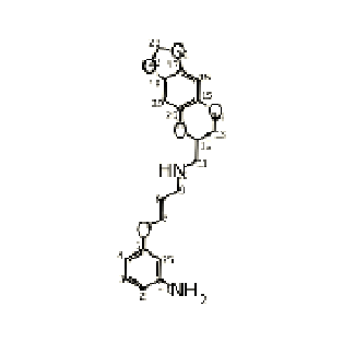 Nc1cccc(OCCCNCC2COc3cc4c(cc3O2)OCO4)c1